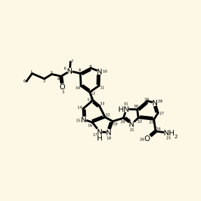 CCCCC(=O)N(C)c1cncc(-c2cnc3[nH]nc(-c4nc5c(C(N)=O)cncc5[nH]4)c3c2)c1